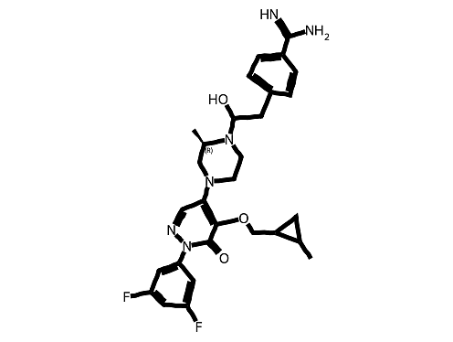 CC1CC1COc1c(N2CCN(C(O)Cc3ccc(C(=N)N)cc3)[C@H](C)C2)cnn(-c2cc(F)cc(F)c2)c1=O